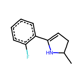 CC1CC=C(c2ccccc2F)N1